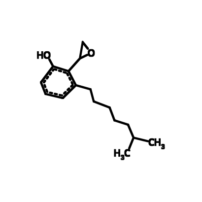 CC(C)CCCCCc1cccc(O)c1C1CO1